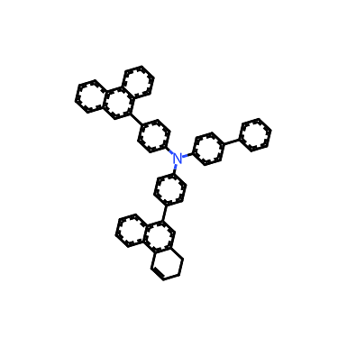 C1=Cc2c(cc(-c3ccc(N(c4ccc(-c5ccccc5)cc4)c4ccc(-c5cc6ccccc6c6ccccc56)cc4)cc3)c3ccccc23)CC1